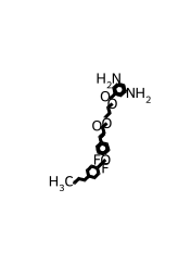 CCCCC1CCC(C(F)(F)Oc2ccc(/C=C/C(=O)OCCCOC(=O)c3cc(N)cc(N)c3)cc2)CC1